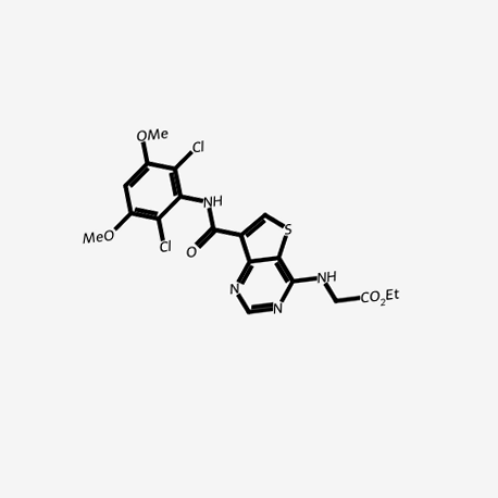 CCOC(=O)CNc1ncnc2c(C(=O)Nc3c(Cl)c(OC)cc(OC)c3Cl)csc12